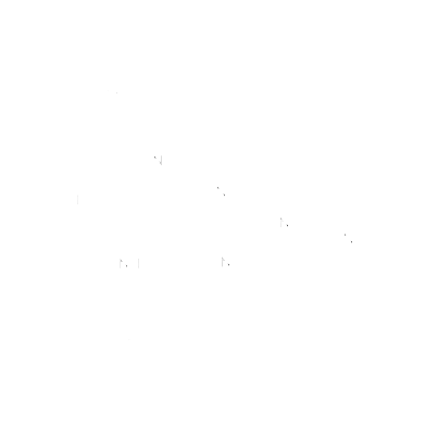 C[C@@H]1COCCN1c1cc(CS(C)(=N)=O)nc(-n2cnc3ccccc32)n1